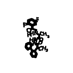 CC1C(=O)N(NC(=O)[C@H](C)NCC(O)c2cc(F)ccc2F)c2ccccc2-c2ccccc21